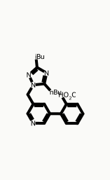 CCCCc1nc(C(C)CC)nn1Cc1cncc(-c2ccccc2C(=O)O)c1